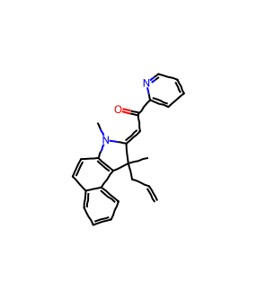 C=CCC1(C)/C(=C/C(=O)c2ccccn2)N(C)c2ccc3ccccc3c21